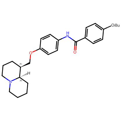 CC(C)COc1ccc(C(=O)Nc2ccc(OC[C@@H]3CCCN4CCCC[C@H]34)cc2)cc1